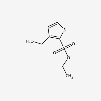 CCOS(=O)(=O)c1sccc1CC